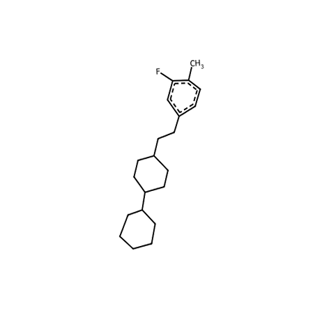 Cc1ccc(CCC2CCC(C3CCCCC3)CC2)cc1F